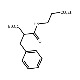 CCOC(=O)CCNC(=O)C(Cc1ccccc1)C(=O)OCC